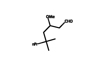 CCCC(C)(C)CC(CC=O)OC